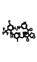 Cc1cc(Nc2ccc(F)cc2C(F)(F)F)cnc1CNC(=O)[C@]1(NC(=O)c2cncc(N)c2)CCOC1